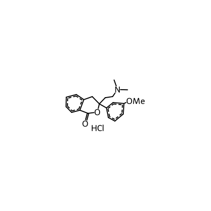 COc1cccc(C2(CCN(C)C)Cc3ccccc3C(=O)O2)c1.Cl